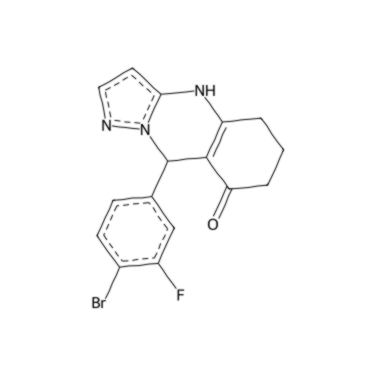 O=C1CCCC2=C1C(c1ccc(Br)c(F)c1)n1nccc1N2